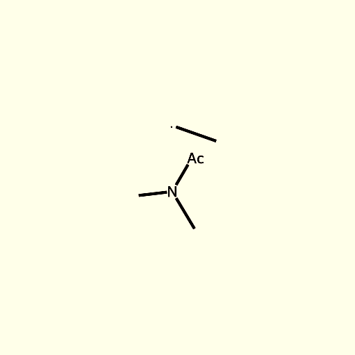 CC(=O)N(C)C.[CH2]C